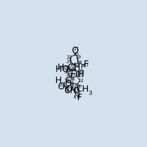 CC(=O)O[C@]1(C(=O)OCF)[C@H](C)C[C@H]2[C@@H]3C[C@H](F)C4=CC(=O)C=C[C@]4(C)[C@@]3(F)[C@@H](O)C[C@@]21C